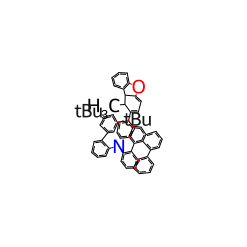 CC1C(c2ccc(N(c3ccccc3-c3cc(C(C)(C)C)cc(C(C)(C)C)c3)c3ccccc3-c3cccc4cccc(-c5ccccc5)c34)cc2)=CC=C2Oc3ccccc3C21